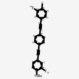 CCCCc1ccc(C#Cc2ccc(C#Cc3ccc(C)c(F)c3)cc2)cc1F